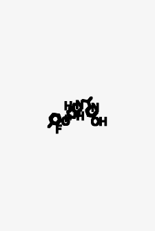 Cc1cccc(O[C@H]2C[C@@H]3CN(CC(C)c4ccc(O)cn4)C[C@@H]3C2)c1F